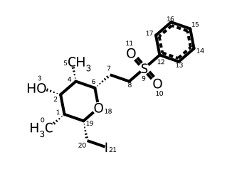 C[C@@H]1[C@H](O)[C@H](C)[C@H](CCS(=O)(=O)c2ccccc2)O[C@@H]1CI